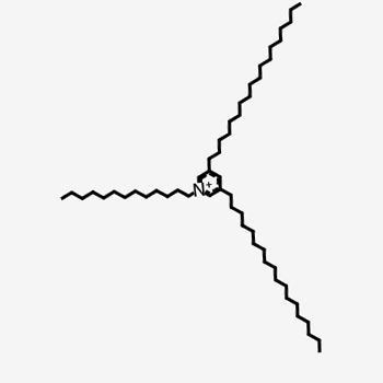 CCCCCCCCCCCCCCCCCCc1cc(CCCCCCCCCCCCCCCCCC)c[n+](CCCCCCCCCCCCC)c1